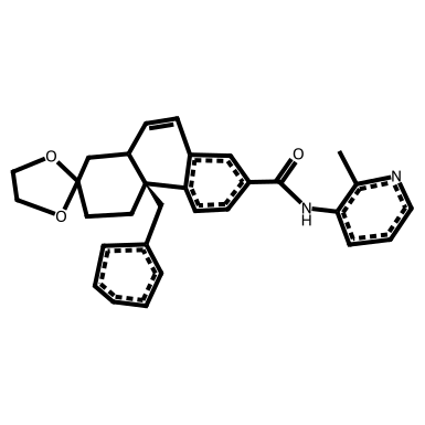 Cc1ncccc1NC(=O)c1ccc2c(c1)C=CC1CC3(CC[C@@]21Cc1ccccc1)OCCO3